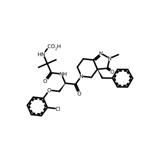 CN1N=C2CCN(C(=O)[C@@H](COc3ccccc3Cl)NC(=O)C(C)(C)NC(=O)O)C[C@@]2(Cc2ccccc2)C1=O